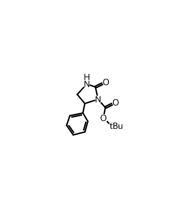 CC(C)(C)OC(=O)N1C(=O)NCC1c1ccccc1